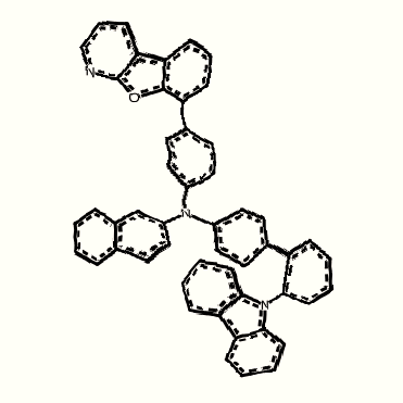 c1ccc(-n2c3ccccc3c3ccccc32)c(-c2ccc(N(c3ccc(-c4cccc5c4oc4ncccc45)cc3)c3ccc4ccccc4c3)cc2)c1